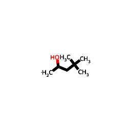 [CH2]C(O)CC(C)(C)C